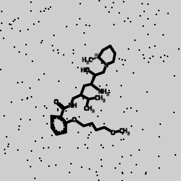 COCCCCOc1ccccc1C(=O)NCC(CC(N)C(O)CN1CCCC[C@H]1C)C(C)C